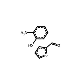 Nc1ccccc1S.O=Cc1cccs1